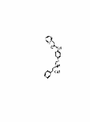 O=C(Cc1ccccn1)Nc1ccc(CCNC[C@H](O)c2ccccc2)cc1